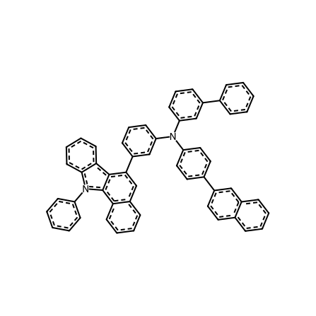 c1ccc(-c2cccc(N(c3ccc(-c4ccc5ccccc5c4)cc3)c3cccc(-c4cc5ccccc5c5c4c4ccccc4n5-c4ccccc4)c3)c2)cc1